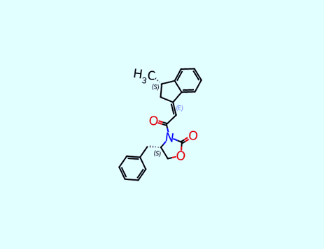 C[C@H]1C/C(=C\C(=O)N2C(=O)OC[C@@H]2Cc2ccccc2)c2ccccc21